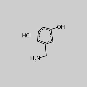 Cl.NCc1cccc(O)c1